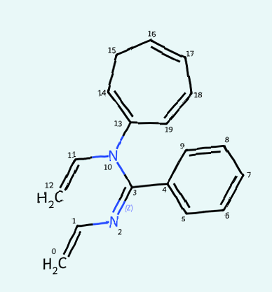 C=C/N=C(/c1ccccc1)N(C=C)C1=CCC=CC=C1